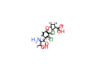 CC(O)C(N)C(=O)c1ccc(O[C@@H]2CC[C@@H](C(=O)O)C2)c(Cl)c1Cl